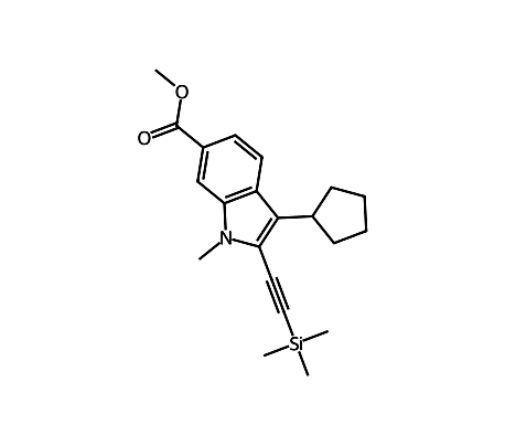 COC(=O)c1ccc2c(C3CCCC3)c(C#C[Si](C)(C)C)n(C)c2c1